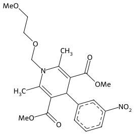 COCCOCN1C(C)=C(C(=O)OC)C(c2cccc([N+](=O)[O-])c2)C(C(=O)OC)=C1C